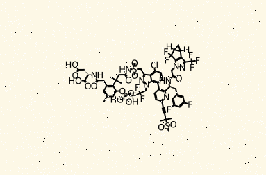 Cc1cc(CC(=O)N[C@@H](CC(=O)O)C(=O)O)c(C(C)(C)CC(=O)NS(=O)(=O)Cc2nn(CC(F)(F)F)c3c(-c4ccc(C#CC(C)(C)S(C)(=O)=O)nc4[C@H](Cc4cc(F)cc(F)c4)NC(=O)Cn4nc(C(F)(F)F)c5c4C(F)(F)[C@@H]4C[C@H]54)ccc(Cl)c23)c(OP(=O)(O)O)c1